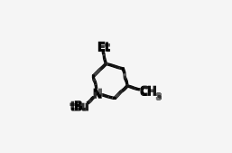 CCC1CC(C)CN(C(C)(C)C)C1